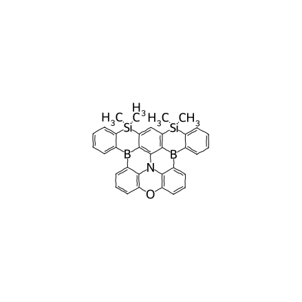 C[Si]1(C)c2ccccc2B2c3cccc4c3N3c5c(cccc5B5c6ccccc6[Si](C)(C)c6cc1c2c3c65)O4